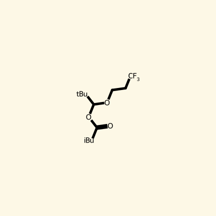 CCC(C)C(=O)OC(OCCC(F)(F)F)C(C)(C)C